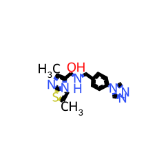 Cc1cn2c(C(O)NCc3ccc(-n4cnnc4)cc3)c(C)nc2s1